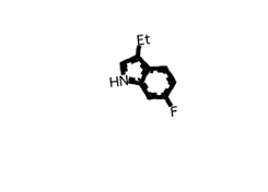 [CH2]Cc1c[nH]c2cc(F)ccc12